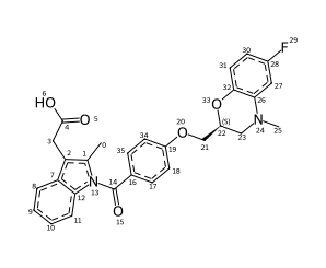 Cc1c(CC(=O)O)c2ccccc2n1C(=O)c1ccc(OC[C@@H]2CN(C)c3cc(F)ccc3O2)cc1